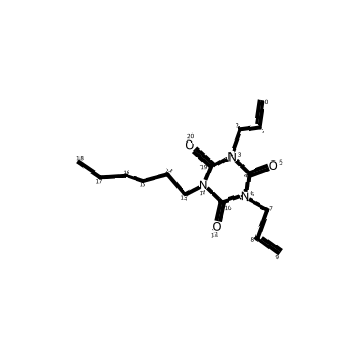 C=CCn1c(=O)n(CC=C)c(=O)n(CCCCCC)c1=O